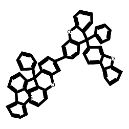 c1ccc(C2(c3ccc4c(c3)oc3ccccc34)c3ccccc3Oc3cc(-c4ccc5c(c4)Oc4ccccc4C5(c4ccccc4)c4cccc5c4sc4ccccc45)ccc32)cc1